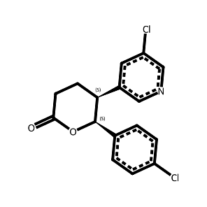 O=C1CC[C@@H](c2cncc(Cl)c2)[C@@H](c2ccc(Cl)cc2)O1